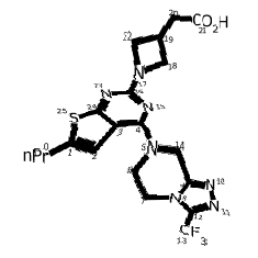 CCCc1cc2c(N3CCn4c(nnc4C(F)(F)F)C3)nc(N3CC(CC(=O)O)C3)nc2s1